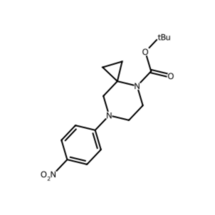 CC(C)(C)OC(=O)N1CCN(c2ccc([N+](=O)[O-])cc2)CC12CC2